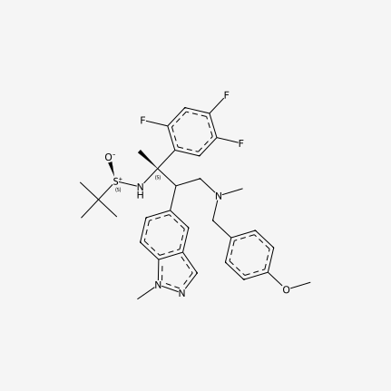 COc1ccc(CN(C)CC(c2ccc3c(cnn3C)c2)[C@](C)(N[S@+]([O-])C(C)(C)C)c2cc(F)c(F)cc2F)cc1